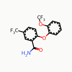 NC(=O)c1cc(C(F)(F)F)ccc1Oc1ccccc1OC(F)(F)F